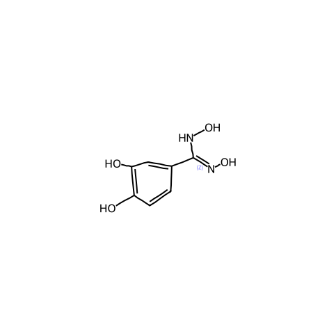 O/N=C(\NO)c1ccc(O)c(O)c1